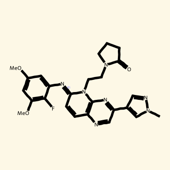 COc1cc(/N=c2\ccc3ncc(-c4cnn(C)c4)nc3n2CCN2CCCC2=O)c(F)c(OC)c1